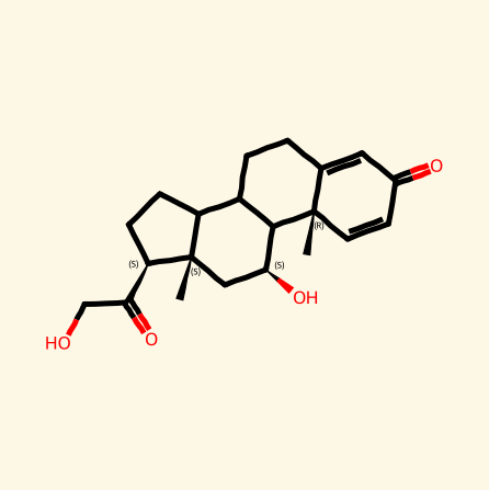 C[C@]12C=CC(=O)C=C1CCC1C2[C@@H](O)C[C@@]2(C)C1CC[C@@H]2C(=O)CO